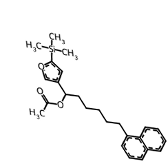 CC(=O)OC(CCCCCc1cccc2ccccc12)c1coc([Si](C)(C)C)c1